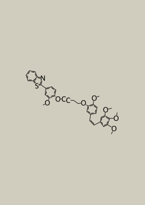 COc1cc(-c2nc3ccccc3s2)ccc1OCCCCOc1cc(/C=C\c2cc(OC)c(OC)c(OC)c2)ccc1OC